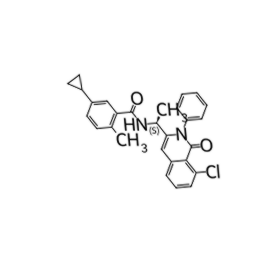 Cc1ccc(C2CC2)cc1C(=O)N[C@@H](C)c1cc2cccc(Cl)c2c(=O)n1-c1ccccc1